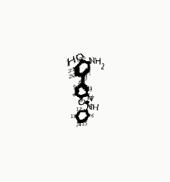 Nc1cc(-c2ccc3oc(NC4CCCCC4)nc3c2)ccc1O